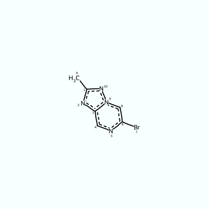 Cc1nc2cnc(Br)cn2n1